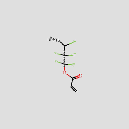 C=CC(=O)OC(F)(F)C(F)(F)C(F)CCCCC